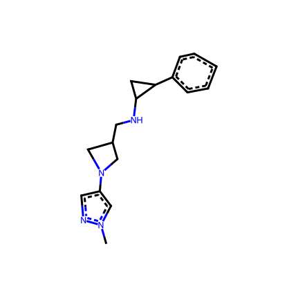 Cn1cc(N2CC(CNC3CC3c3ccccc3)C2)cn1